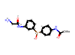 COC(=O)Nc1ccc([S+]([O-])c2cccc(NC(=O)CN)c2)cc1